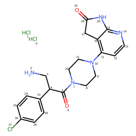 Cl.Cl.NCC(C(=O)N1CCN(c2ccnc3c2CC(=O)N3)CC1)c1ccc(Cl)cc1